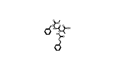 COC(=O)[C@H](Cc1ccccc1)NC(=O)[C@@H](NC(=O)OCc1ccccc1)C(C)C(=O)O